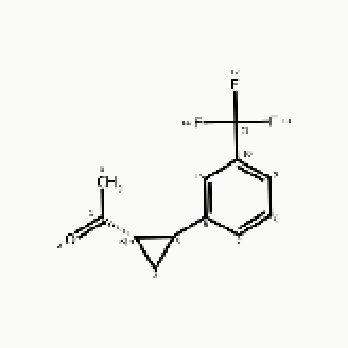 CC(=O)[C@H]1CC1c1cccc(C(F)(F)F)c1